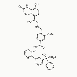 COc1cc(C(=O)NCc2nccnc2-c2cccc(C(O)(C(=O)O)c3ccccc3)c2)ccc1CNCC(O)c1ccc(O)c2[nH]c(=O)ccc12